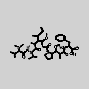 CCC(C)C(C(CC(=O)N1CCCC1C(OC)C(C)C(=O)NC(Cc1ccccc1)C(=O)O)OC)N(C)C(=O)[C@@H](NC(=O)C(C(C)C)N(C)C)C(C)C